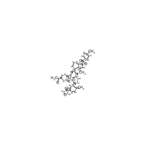 CC(=O)N1CCN(c2nc(-c3cccc4c3c(C)cn4S(=O)(=O)c3ccc(C)cc3)nc3c2CN(c2cc(C4(C)COC4)ccc2C)CC3)C(C)C1